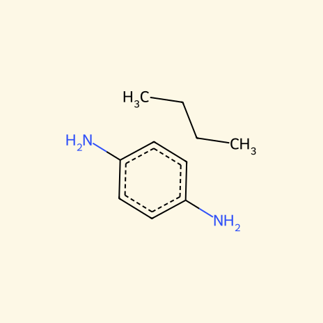 CCCC.Nc1ccc(N)cc1